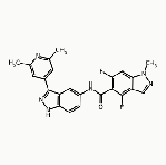 Cc1cc(-c2n[nH]c3ccc(NC(=O)c4c(F)cc5c(cnn5C)c4F)cc23)cc(C)n1